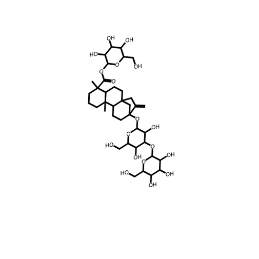 C=C1CC23CCC4C(C)(C(=O)OC5OC(CO)C(O)C(O)C5O)CCCC4(C)C2CCC1(OC1OC(CO)C(O)C(OC2OC(CO)C(O)C(O)C2O)C1O)C3